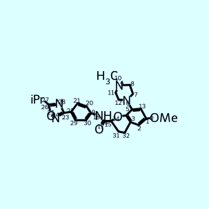 COc1cc2c(c(N3CCN(C)CC3)c1)OC(C(=O)Nc1ccc(-c3noc(C(C)C)n3)cc1)CC2